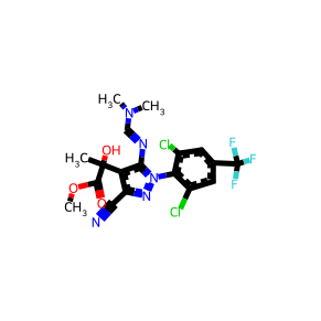 COC(=O)C(C)(O)c1c(C#N)nn(-c2c(Cl)cc(C(F)(F)F)cc2Cl)c1/N=C/N(C)C